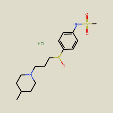 CC1CCN(CCC[S+]([O-])c2ccc(NS(C)(=O)=O)cc2)CC1.Cl